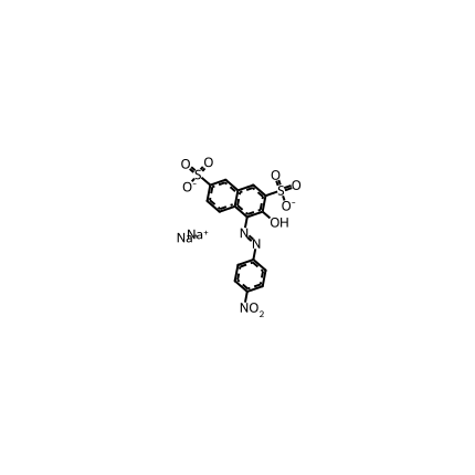 O=[N+]([O-])c1ccc(N=Nc2c(O)c(S(=O)(=O)[O-])cc3cc(S(=O)(=O)[O-])ccc23)cc1.[Na+].[Na+]